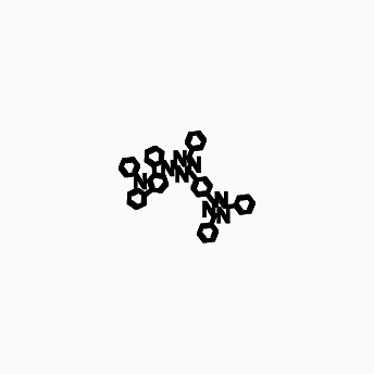 c1ccc(-c2nc(-c3ccccc3)nc(-c3ccc(-c4nc(-c5ccccc5)nc(-n5c6ccccc6c6c5ccc5c7ccccc7n(-c7ccccc7)c56)n4)cc3)n2)cc1